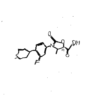 CC1[C@H](C(=O)O)OC(=O)N1c1ccc(C2CCSCC2)c(F)c1